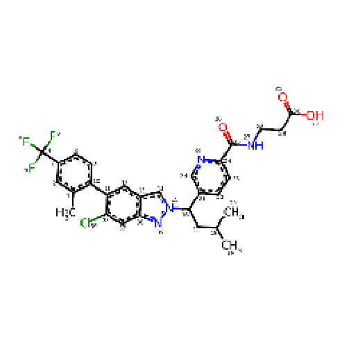 Cc1cc(C(F)(F)F)ccc1-c1cc2cn(C(CC(C)C)c3ccc(C(=O)NCCC(=O)O)nc3)nc2cc1Cl